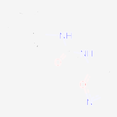 O=C(Nc1ccno1)NC1CC2CCC1CC2